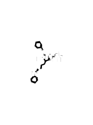 CC(C)(C)OC(=O)C(CCCSc1nc2ccccc2s1)NC(=O)OCc1ccccc1